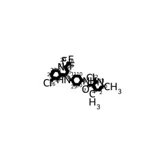 Cc1cc(C)c(C(=O)NC2CCC(Nc3cc(C(F)(F)F)nc4ccc(Cl)cc34)CC2)c(Cl)n1